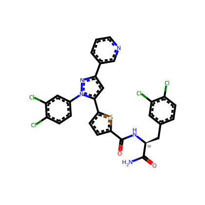 NC(=O)[C@H](Cc1ccc(Cl)c(Cl)c1)NC(=O)c1ccc(-c2cc(-c3cccnc3)nn2-c2ccc(Cl)c(Cl)c2)s1